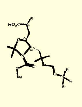 CC(C)[C@@H](C[C@@H]1OC(C)(C)N(C(=O)OC(C)(C)C)[C@H]1CC(C)(C)CCO[Si](C(C)C)(C(C)C)C(C)C)C(=O)O